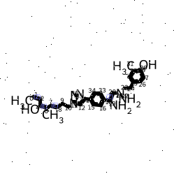 C\C=C/C(O)=C(C)\C=C\CCn1cc(-c2ccc(/C(N)=C/N(N)CCc3ccc(O)c(C)c3)cc2)nn1